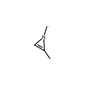 [CH2]N1C=C1C